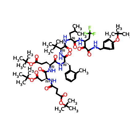 Cc1ccccc1C[C@H](NC(=O)[C@H](CCC(=O)OC(C)(C)C)NC(=O)[C@H](CC(=O)OC(C)(C)C)NC(=O)CCC(=O)OC(C)(C)C)C(=O)N[C@H](C(=O)N[C@@H](CC(C)C)C(=O)NC(CC(F)(F)F)C(=O)C(=O)NCc1ccc(OC(C)(C)C)cc1)C(C)(C)C